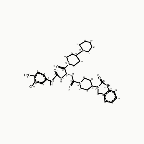 Cc1ccc(NC(=O)N[C@@H](CC(=O)N2CCC(N3Cc4ccccc4NC3=O)CC2)C(=O)N2CCC(N3CCCCC3)CC2)cc1Cl